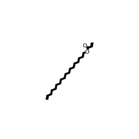 C=CCCCCCCCCCCCCCCCCOC(=O)C=C